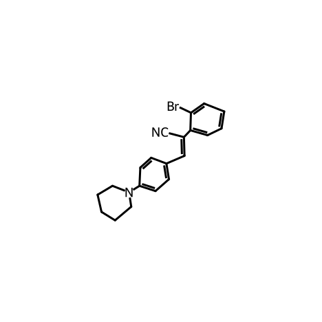 N#C/C(=C\c1ccc(N2CCCCC2)cc1)c1ccccc1Br